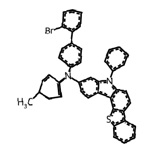 CC1C=CC(N(c2ccc(-c3ccccc3Br)cc2)c2ccc3c4c5sc6ccccc6c5ccc4n(-c4ccccc4)c3c2)=CC1